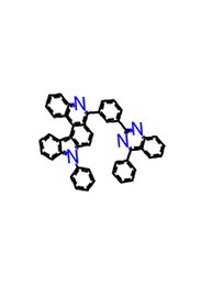 c1ccc(-c2nc(-c3cccc(-c4nc5ccccc5c5c4ccc4c5c5ccccc5n4-c4ccccc4)c3)nc3ccccc23)cc1